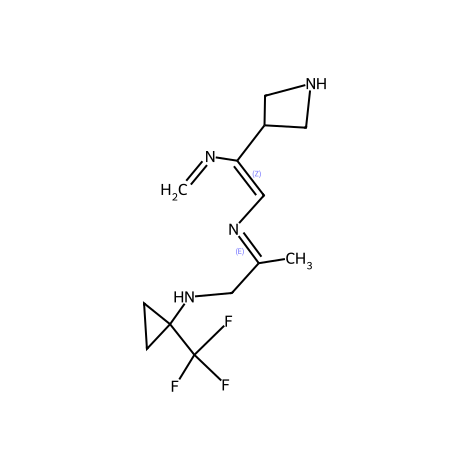 C=N/C(=C\N=C(/C)CNC1(C(F)(F)F)CC1)C1CNC1